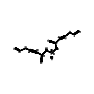 C=CCC#CC(=O)O[PH](=O)OC(=O)C#CCC=C